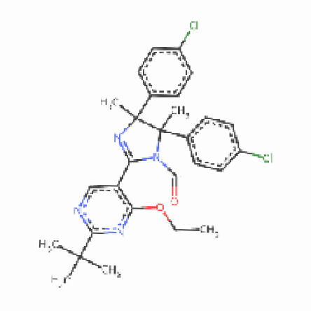 CCOc1nc(C(C)(C)C)ncc1C1=NC(C)(c2ccc(Cl)cc2)C(C)(c2ccc(Cl)cc2)N1[C]=O